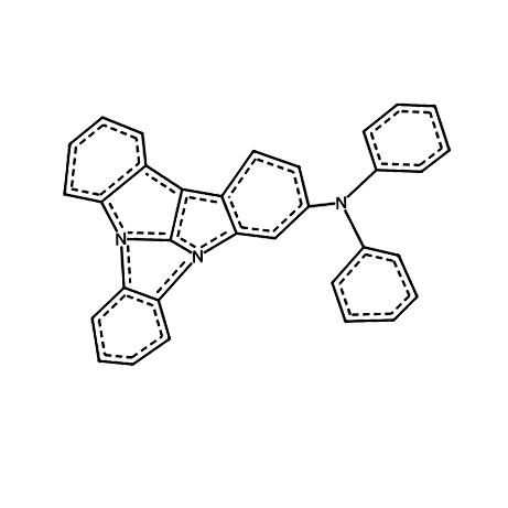 c1ccc(N(c2ccccc2)c2ccc3c4c5ccccc5n5c6ccccc6n(c3c2)c45)cc1